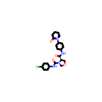 O=C(Nc1ccc(-n2ccccc2=O)cc1)[C@H]1COCN1C(=O)Nc1ccc(Cl)cc1